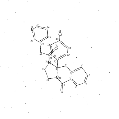 C=C1c2ccccc2CC2(c3ccc(Cl)cc3)N1CCN2C(=O)Cc1cccnc1